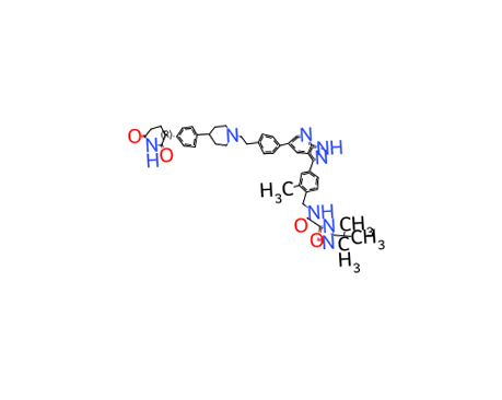 Cc1cc(-c2n[nH]c3ncc(-c4ccc(CCN5CCC(c6ccc([C@H]7CCC(=O)NC7=O)cc6)CC5)cc4)cc23)ccc1CNC(=O)c1nc(C(C)(C)C)no1